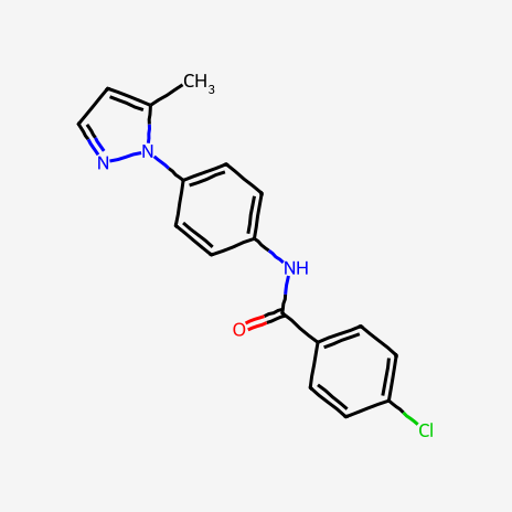 Cc1ccnn1-c1ccc(NC(=O)c2ccc(Cl)cc2)cc1